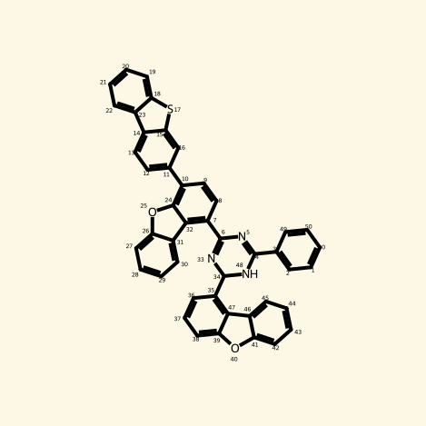 c1ccc(C2=NC(c3ccc(-c4ccc5c(c4)sc4ccccc45)c4oc5ccccc5c34)=NC(c3cccc4oc5ccccc5c34)N2)cc1